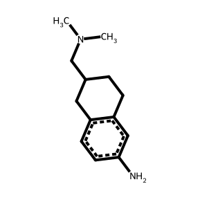 CN(C)CC1CCc2cc(N)ccc2C1